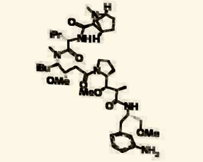 CC[C@H](C)[C@@H]([C@H](CC(=O)N1CCC[C@H]1[C@H](OC)[C@@H](C)C(=O)N[C@H](COC)Cc1cccc(N)c1)OC)N(C)C(=O)[C@@H](NC(=O)[C@@H]1[C@H]2CC[C@H](C2)N1C)C(C)C